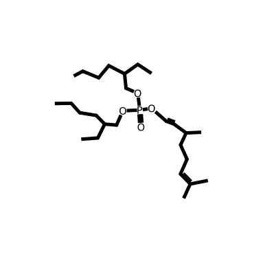 CCCCC(CC)COP(=O)(OC=CC(C)CCC=C(C)C)OCC(CC)CCCC